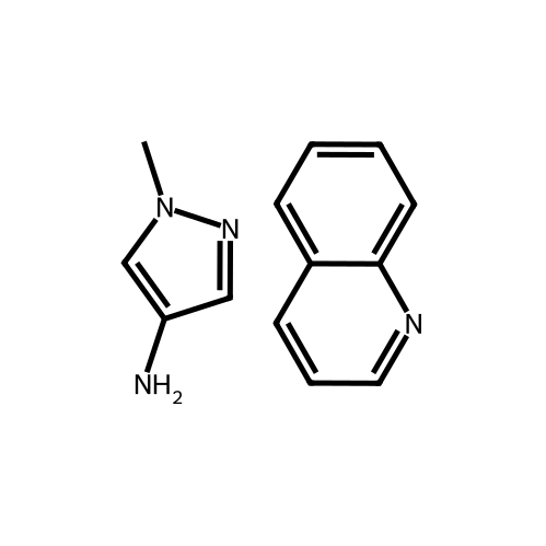 Cn1cc(N)cn1.c1ccc2ncccc2c1